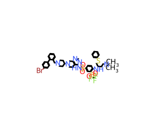 CN(C)CCC(CSc1ccccc1)Nc1ccc(S(=O)(=O)Nc2ncnc3c2CCN(C2CCN(Cc4ccccc4-c4ccc(Br)cc4)CC2)C3)cc1S(=O)(=O)C(F)(F)F